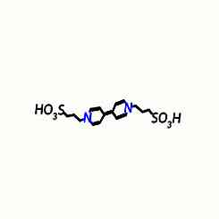 O=S(=O)(O)CCCN1C=CC(=C2C=CN(CCCS(=O)(=O)O)C=C2)C=C1